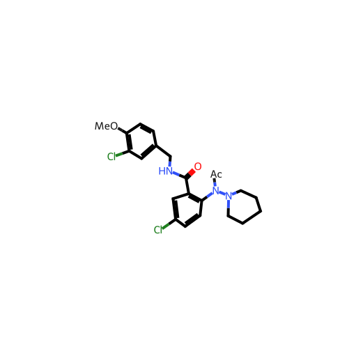 COc1ccc(CNC(=O)c2cc(Cl)ccc2N(C(C)=O)N2CCCCC2)cc1Cl